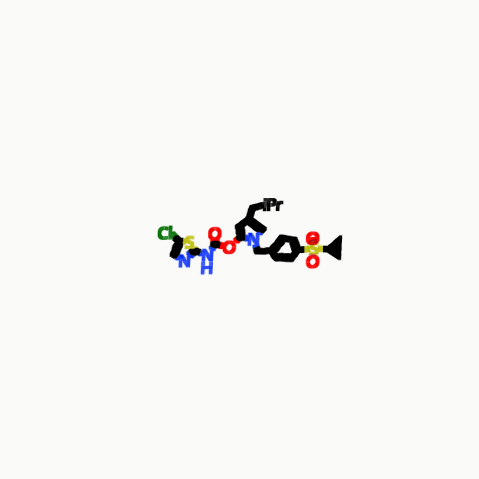 CC(C)Cc1cc(OC(=O)Nc2ncc(Cl)s2)n(Cc2ccc(S(=O)(=O)C3CC3)cc2)c1